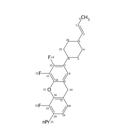 C/C=C/C1CCC(c2cc3c(c(F)c2F)Oc2c(ccc(CCC)c2F)C3)CC1